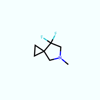 CN1CC(F)(F)C2(CC2)C1